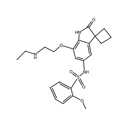 CCNCCOc1cc(NS(=O)(=O)c2ccccc2OC)cc2c1NC(=O)C21CCC1